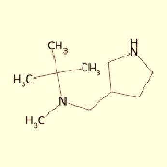 CN(CC1CCNC1)C(C)(C)C